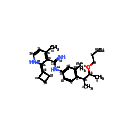 CCC(C)CCOC(C)C(C)c1ccc(NC(=N)C2=C(C)C=CNC2=C2CCC2)cc1C